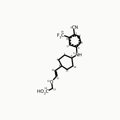 N#Cc1ccc(NC2CCC(/C=C/OCC(=O)O)CC2)cc1C(F)(F)F